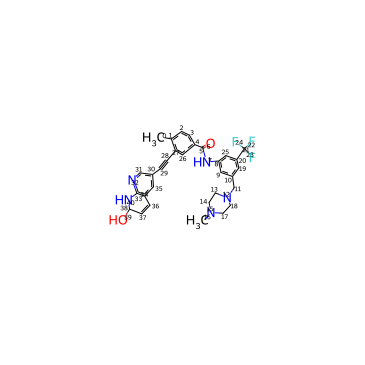 Cc1ccc(C(=O)Nc2cc(CN3CCN(C)CC3)cc(C(F)(F)F)c2)cc1C#Cc1cnc2c(c1)C=CC(O)N2